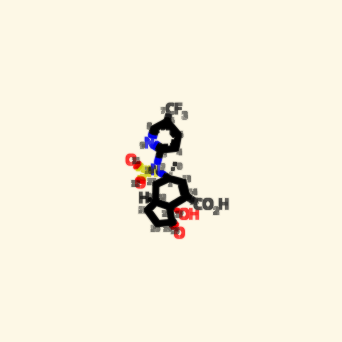 C[C@]1(N(c2ccc(C(F)(F)F)cn2)[SH](=O)=O)C=C(C(=O)O)[C@]2(O)C(=O)CC[C@@H]2C1